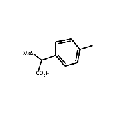 CSC(C(=O)O)c1ccc(C)cc1